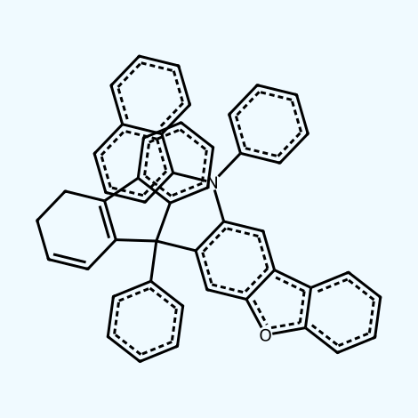 C1=CC2=C(CC1)c1ccccc1C2(c1ccccc1)c1cc2oc3ccccc3c2cc1N(c1ccccc1)c1cccc2ccccc12